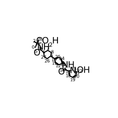 CC(C)(NC(=O)C1CCC(c2ccc(NC(=O)c3cccc(O)n3)cc2)CC1)C(=O)O